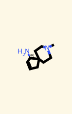 CN1CCC2(CC=C[C@H]2N)CC1